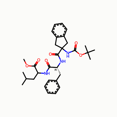 COC(=O)C(CC(C)C)NC(=O)[C@@H](Cc1ccccc1)NC(=O)C1(NC(=O)OC(C)(C)C)Cc2ccccc2C1